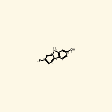 Oc1ccc2c(c1)[nH]c1cc(F)ccc12